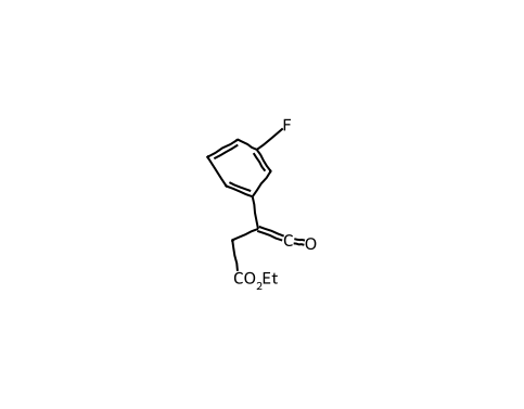 CCOC(=O)CC(=C=O)c1cccc(F)c1